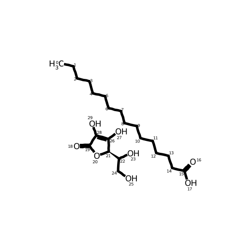 CCCCCCCCCCCCCCCC(=O)O.O=C1O[C@H](C(O)CO)C(O)=C1O